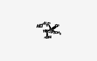 C[SH](C)(=O)NO.Cl